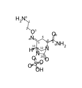 NCCON=C1C[C@@H](C(N)=O)N2C[C@@H]1N(OS(=O)(=O)O)C2=O